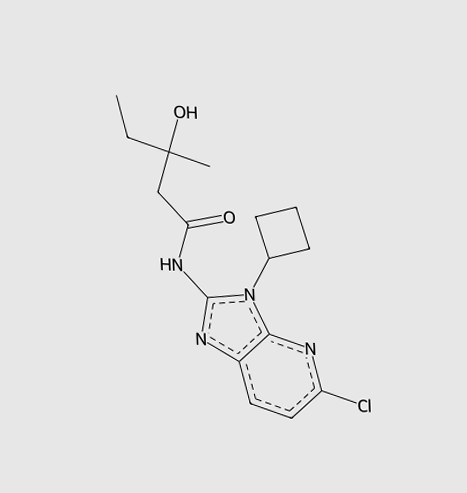 CCC(C)(O)CC(=O)Nc1nc2ccc(Cl)nc2n1C1CCC1